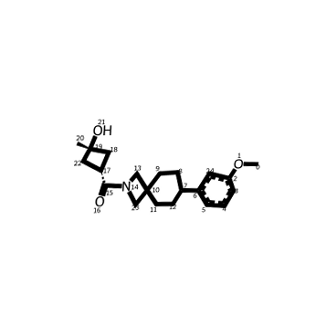 COc1cccc(C2CCC3(CC2)CN(C(=O)[C@H]2C[C@@](C)(O)C2)C3)c1